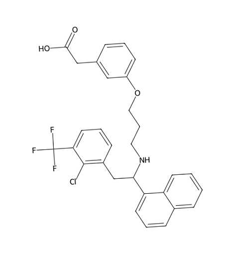 O=C(O)Cc1cccc(OCCCNC(Cc2cccc(C(F)(F)F)c2Cl)c2cccc3ccccc23)c1